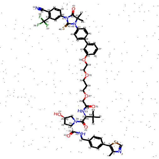 Cc1ncsc1-c1ccc(CNC(=O)[C@@H]2C[C@@H](O)CN2C(=O)[C@@H](NC(=O)COCCCOCCOc2cccc(-c3ccc(N4C(=S)N(c5ccc(C#N)c(C(F)(F)F)c5)C(=O)C4(C)C)cc3)c2)C(C)(C)C)cc1